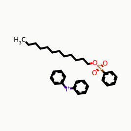 CCCCCCCCCCCCOS(=O)(=O)c1ccccc1.c1ccc([I+]c2ccccc2)cc1